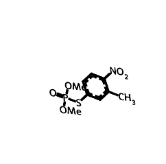 COP(=O)(OC)Sc1ccc([N+](=O)[O-])c(C)c1